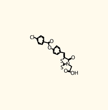 O=C(O)CN1C(=O)C(=Cc2ccc(OC(=O)c3ccc(Cl)cc3)cc2)SC1=S